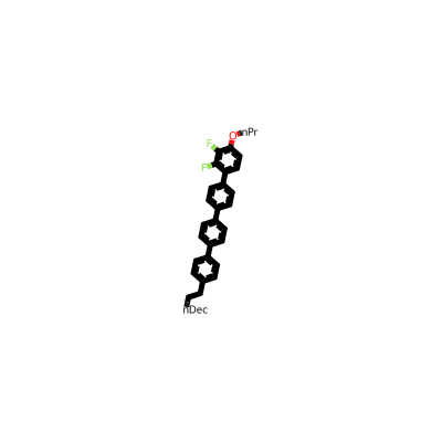 CCCCCCCCCCCCc1ccc(-c2ccc(-c3ccc(-c4ccc(OCCC)c(F)c4F)cc3)cc2)cc1